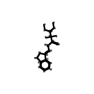 CCN(CC)C(C)(C)C(=O)O/N=C1\CCc2ccccc21